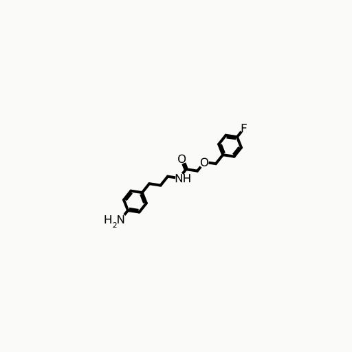 Nc1ccc(CCCNC(=O)COCc2ccc(F)cc2)cc1